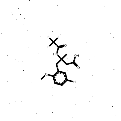 COc1ccc(Cl)cc1CC(C)(CC(=O)O)NC(=O)C(F)(F)F